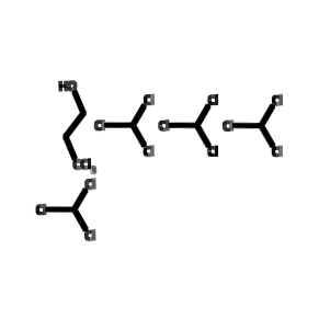 ClC(Cl)Cl.ClC(Cl)Cl.ClC(Cl)Cl.ClC(Cl)Cl.OCCC(Cl)(Cl)Cl